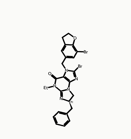 CCN1C(=O)c2c(nc(Br)n2Cc2cc(Br)c3c(c2)CCO3)N2C[C@@H](Cc3ccccc3)N=C12